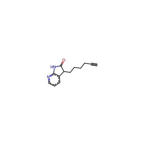 C#CCCCCC1C(=O)Nc2ncccc21